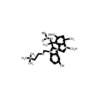 COc1cc(C)c2c(ccn2C(=O)O)c1C(C)(N[S+]([O-])C(C)(C)C)c1nc2cc(C#N)ccc2n1COCC[Si](C)(C)C